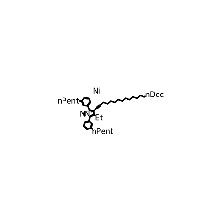 CCCCCCCCCCCCCCCCCCCCCCC#CC1=C(c2cccc(CCCCC)c2)[N+](=[N-])C(c2cccc(CCCCC)c2)=C1CC.[Ni]